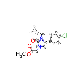 COC(=O)Cn1cc(-c2ccc(Cl)cc2)n(CC2CC2)c1=O